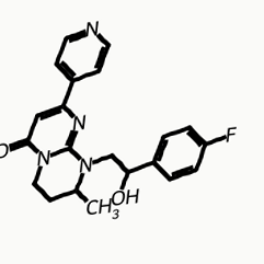 CC1CCn2c(nc(-c3ccncc3)cc2=O)N1CC(O)c1ccc(F)cc1